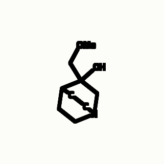 COCC1(O)CN2CCC1CC2